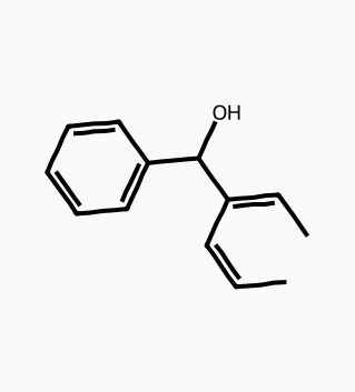 C/C=C\C(=C/C)C(O)c1ccccc1